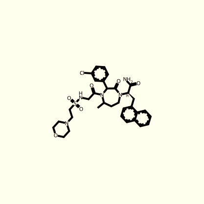 CC1CCN([C@H](Cc2cccc3ccccc23)C(N)=O)C(=O)C(c2cccc(Cl)c2)N1C(=O)CNS(=O)(=O)CCN1CCOCC1